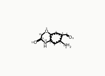 Nc1cc2c(cc1C=O)OCC(=O)N2